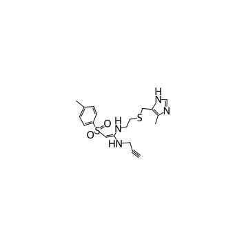 C#CCNC(=CS(=O)(=O)c1ccc(C)cc1)NCCSCc1[nH]cnc1C